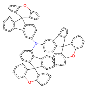 c1ccc2c(c1)Oc1ccccc1C21c2ccccc2-c2cc(N(c3ccc4c(c3)-c3ccccc3C43c4ccccc4Oc4ccccc43)c3cccc4c3-c3ccccc3C43c4ccccc4Oc4ccccc43)ccc21